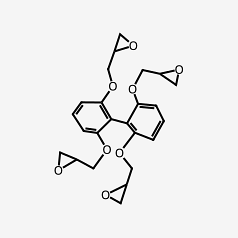 c1cc(OCC2CO2)c(-c2c(OCC3CO3)cccc2OCC2CO2)c(OCC2CO2)c1